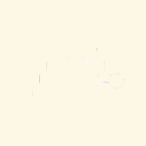 CCCCCC/C=C\CCCCNC(Cc1c[nH]c2ccccc12)C(=O)O